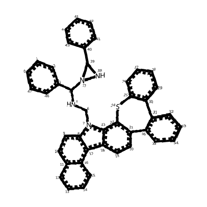 c1ccc(C(NCn2c3ccc4ccccc4c3c3ccc4c(c32)Sc2ccccc2-c2ccccc2-4)N2NC2c2ccccc2)cc1